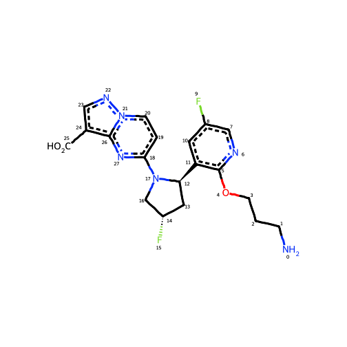 NCCCOc1ncc(F)cc1[C@H]1C[C@H](F)CN1c1ccn2ncc(C(=O)O)c2n1